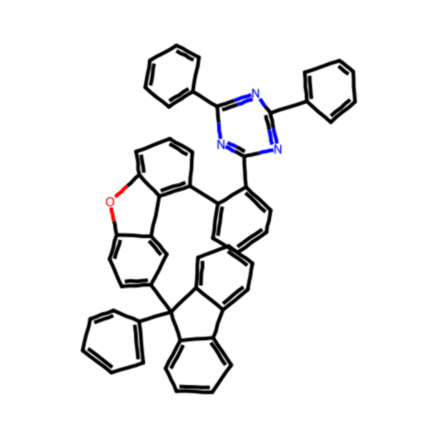 c1ccc(-c2nc(-c3ccccc3)nc(-c3ccccc3-c3cccc4oc5ccc(C6(c7ccccc7)c7ccccc7-c7ccccc76)cc5c34)n2)cc1